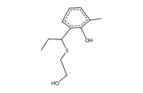 CCC(SCCO)c1cccc(C)c1O